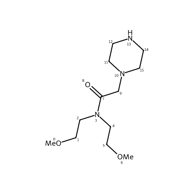 COCCN(CCOC)C(=O)CN1CCNCC1